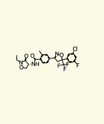 CCN1OC[C@@H](NC(=O)c2ccc(C3=NOC(c4cc(F)cc(Cl)c4)(C(F)(F)F)C3)cc2C)C1=O